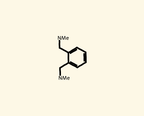 CNCc1ccccc1CNC